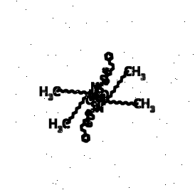 CCCCCCCCCCCCC(CCCCCCCCCC)CN1C(=O)C2=C(c3ncc(-c4ccc(-c5cc(CCCc6ccccc6)cs5)s4)s3)N(CC(CCCCCCCCCC)CCCCCCCCCCCC)C(=O)C2=C1c1ncc(-c2ccc(-c3cc(CCCc4ccccc4)cs3)s2)s1